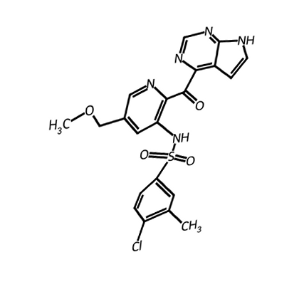 COCc1cnc(C(=O)c2ncnc3[nH]ccc23)c(NS(=O)(=O)c2ccc(Cl)c(C)c2)c1